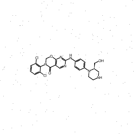 O=C1c2cnc(Nc3ccc(N4CCNC[C@@H]4CO)cc3)nc2OCN1c1c(Cl)cccc1Cl